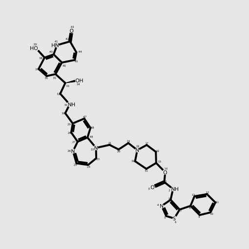 O=C(Nc1ncsc1-c1ccccc1)OC1CCN(CCCN2CC=C=Nc3cc(CNC[C@H](O)c4ccc(O)c5[nH]c(=O)ccc45)ccc32)CC1